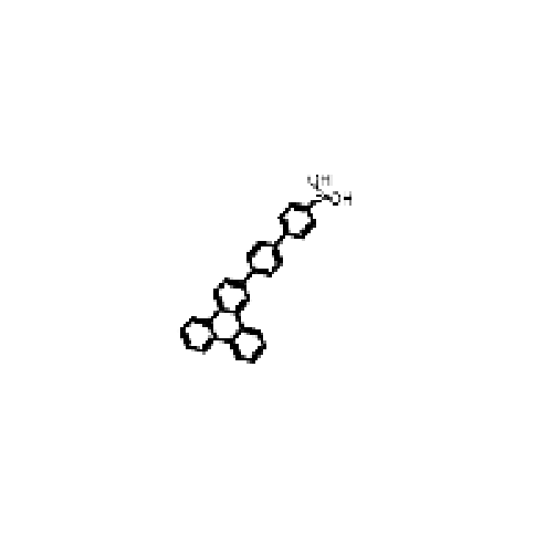 OB(O)c1ccc(-c2ccc(-c3ccc4c5ccccc5c5ccccc5c4c3)cc2)cc1